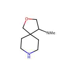 CNC1COCC12CCNCC2